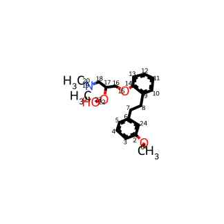 COc1cccc(CCc2ccccc2OCC(CN(C)C)OO)c1